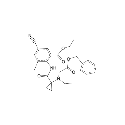 CCOC(=O)c1cc(C#N)cc(C)c1NC(=O)C1(N(CC)CC(=O)OCc2ccccc2)CC1